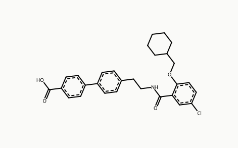 O=C(O)c1ccc(-c2ccc(CCNC(=O)c3cc(Cl)ccc3OCC3CCCCC3)cc2)cc1